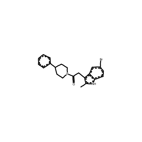 Cc1[nH]c2ccc(Br)cc2c1CC(=O)N1CCC(c2ccccc2)CC1